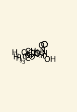 CC(C)(C)[Si](C)(C)Oc1ccc2c(c1)c(CO)nn2[C@H]1CCCCO1